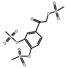 CS(=O)(=O)OCC(=O)c1ccc(OS(C)(=O)=O)c(OS(C)(=O)=O)c1